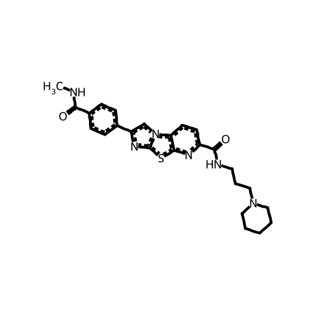 CNC(=O)c1ccc(-c2cn3c(n2)sc2nc(C(=O)NCCCN4CCCCC4)ccc23)cc1